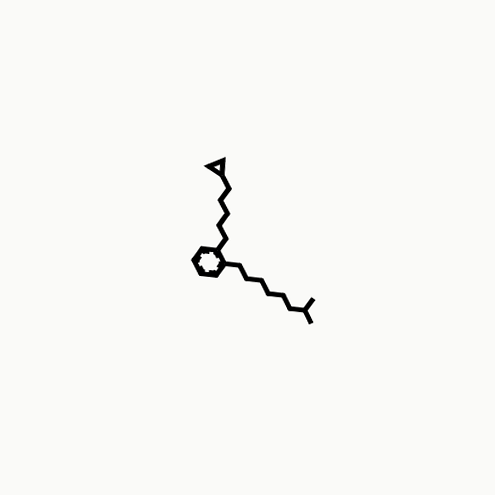 CC(C)CCCCCCc1ccccc1CCCCCC1CC1